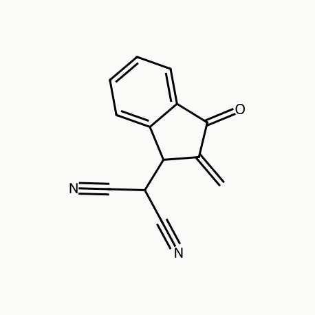 C=C1C(=O)c2ccccc2C1C(C#N)C#N